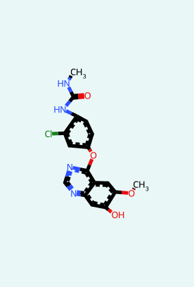 CNC(=O)Nc1ccc(Oc2ncnc3cc(O)c(OC)cc23)cc1Cl